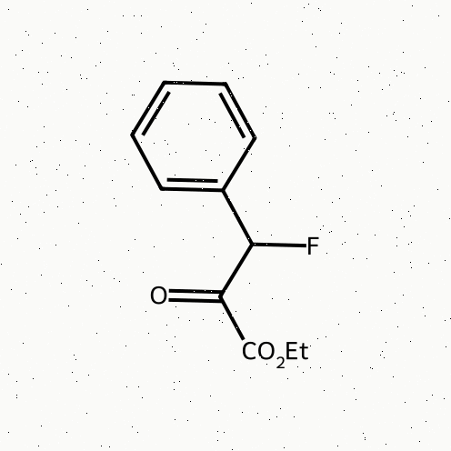 CCOC(=O)C(=O)C(F)c1ccccc1